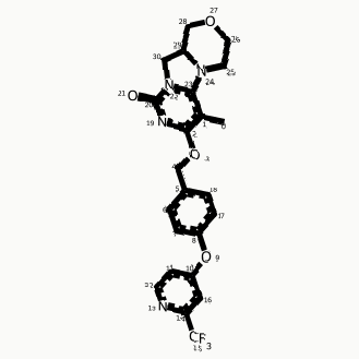 Cc1c(OCc2ccc(Oc3ccnc(C(F)(F)F)c3)cc2)nc(=O)n2c1N1CCOCC1C2